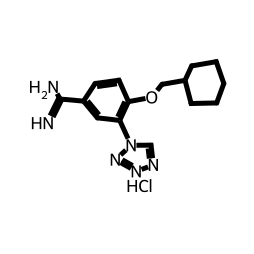 Cl.N=C(N)c1ccc(OCC2CCCCC2)c(-n2cnnn2)c1